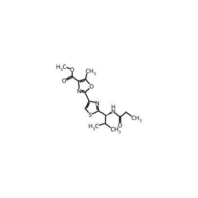 CCC(=O)N[C@H](c1nc(-c2nc(C(=O)OC)c(C)o2)cs1)C(C)C